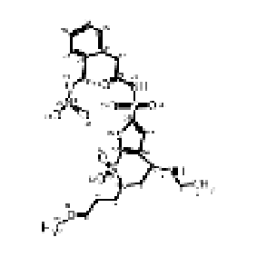 CCN[C@H]1CN(CCCOC)S(=O)(=O)c2sc(S(=O)(=O)NC(=O)Cc3ccccc3CO[N+](=O)[O-])cc21